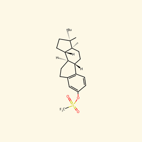 CC(C)(C)[C@@]1(C)CC[C@H]2[C@@H]3CCc4cc(OS(=O)(=O)C(F)(F)F)ccc4[C@H]3CC[C@@]21C